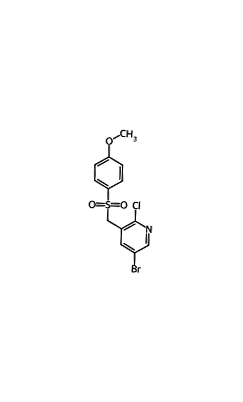 COc1ccc(S(=O)(=O)Cc2cc(Br)cnc2Cl)cc1